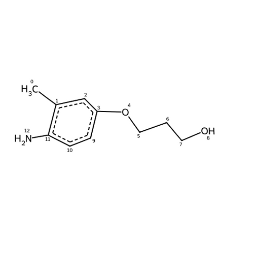 Cc1cc(OCCCO)ccc1N